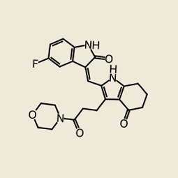 O=C1Nc2ccc(F)cc2C1=Cc1[nH]c2c(c1CCC(=O)N1CCOCC1)C(=O)CCC2